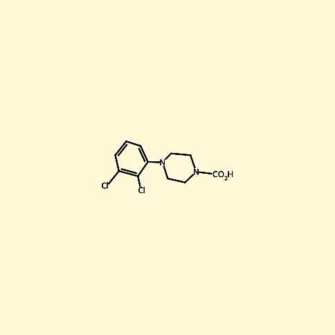 O=C(O)N1CCN(c2cccc(Cl)c2Cl)CC1